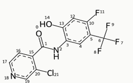 O=C(Nc1cc(C(F)(F)F)c(F)cc1O)c1ccncc1Cl